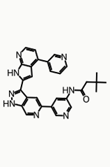 CC(C)(C)CC(=O)Nc1cncc(-c2cc3c(-c4cc5c(-c6cccnc6)ccnc5[nH]4)n[nH]c3cn2)c1